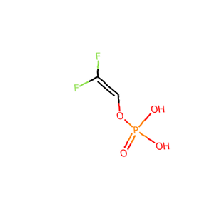 O=P(O)(O)OC=C(F)F